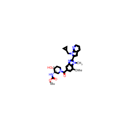 COc1cc(C(=O)N2CC[C@@H](O)[C@@H](NC(=O)OC(C)(C)C)C2)cc2nc(-c3cc4cccnc4n3CC3CC3)n(C)c12